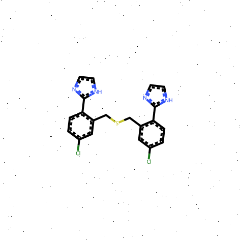 Clc1ccc(-c2ncc[nH]2)c(CSCc2cc(Cl)ccc2-c2ncc[nH]2)c1